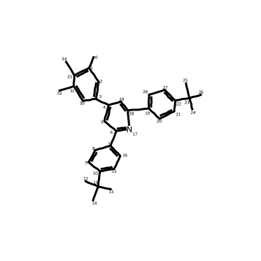 Cc1cc(-c2cc(-c3ccc(C(C)(C)C)cc3)nc(-c3ccc(C(C)(C)C)cc3)c2)cc(C)c1C